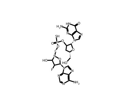 Nc1nc2c(ncn2[C@@H]2O[C@H](CO)CC2OP(=O)(S)OCN2O[C@@H](n3cnc4c(N)ncnc43)C(F)C2O)c(=O)[nH]1